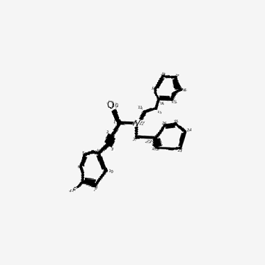 O=C(C#Cc1ccc(F)cc1)N(CCc1ccccc1)Cc1ccccc1